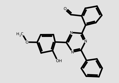 COc1ccc(-c2nc(-c3ccccc3)nc(-c3ccccc3C=O)n2)c(O)c1